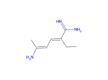 CC/C(=C\C=C(/C)N)C(=N)N